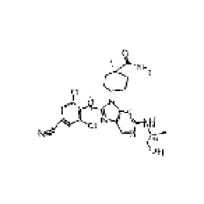 C[C@@H](CO)Nc1ncc2nc(Nc3c(Cl)cc(C#N)cc3Cl)n([C@H]3CC[C@](C)(C(N)=O)CC3)c2n1